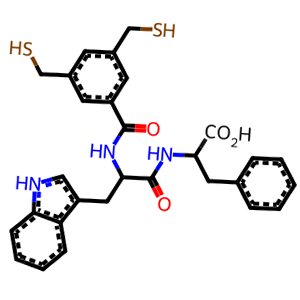 O=C(NC(Cc1c[nH]c2ccccc12)C(=O)NC(Cc1ccccc1)C(=O)O)c1cc(CS)cc(CS)c1